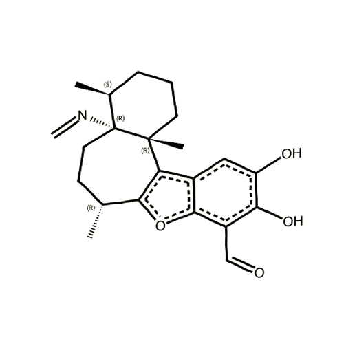 C=N[C@@]12CC[C@@H](C)c3oc4c(C=O)c(O)c(O)cc4c3[C@@]1(C)CCC[C@@H]2C